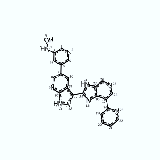 ONc1cncc(-c2cnc3[nH]nc(-c4nc5c(-c6ccccn6)cncc5[nH]4)c3c2)c1